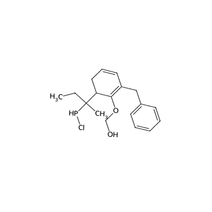 CCC(C)(PCl)C1CC=CC(Cc2ccccc2)=C1OCO